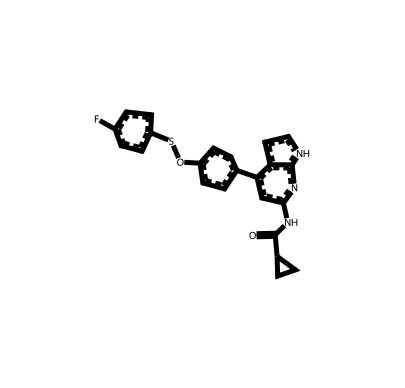 O=C(Nc1cc(-c2ccc(OSc3ccc(F)cc3)cc2)c2cc[nH]c2n1)C1CC1